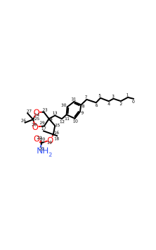 CCCCCCCCc1ccc(CCC2(CC(C)(C)OC(N)=O)COC(C)(C)OC2)cc1